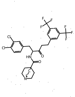 O=C(CCc1cc(C(F)(F)F)cc(C(F)(F)F)c1)C(Cc1ccc(Cl)c(Cl)c1)NC(=O)C12CCN(CC1)CC2